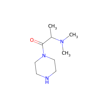 CC(C(=O)N1CCNCC1)N(C)C